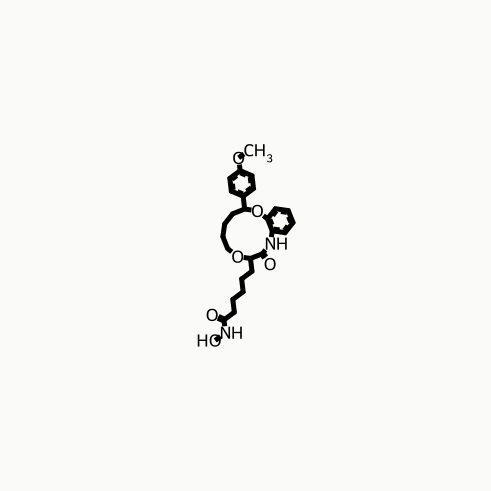 COc1ccc(C2CCCCOC(CCCCCC(=O)NO)C(=O)Nc3ccccc3O2)cc1